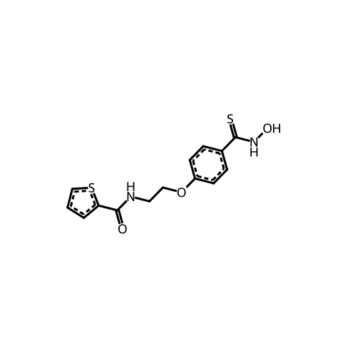 O=C(NCCOc1ccc(C(=S)NO)cc1)c1cccs1